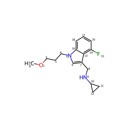 COCCCn1cc(CNC2CC2)c2c(F)cccc21